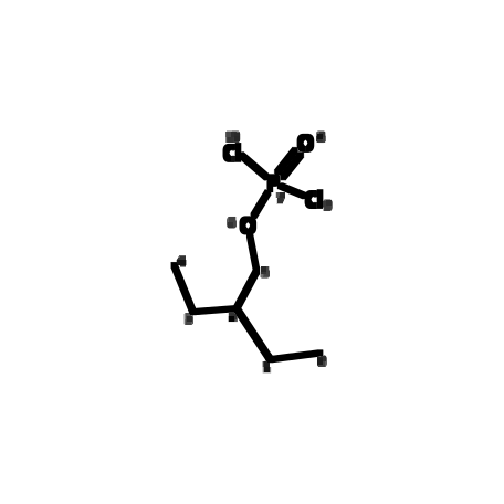 CCC(CC)COP(=O)(Cl)Cl